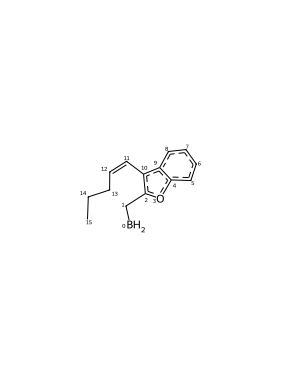 BCc1oc2ccccc2c1/C=C\CCC